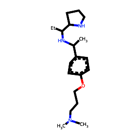 CCC(NC(C)c1ccc(OCCCN(C)C)cc1)C1CCCN1